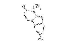 Cn1c(=O)ccn2c3cc(C#N)ccc3nc12